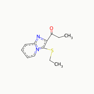 CCSc1c(C(=O)CC)nc2ccccn12